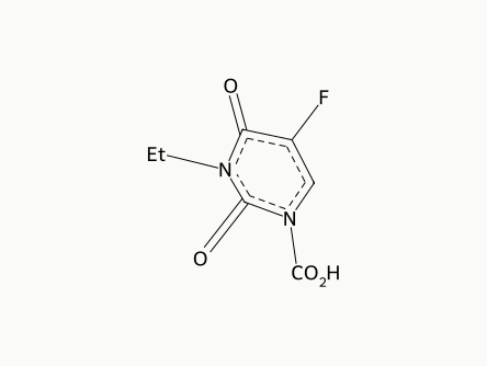 CCn1c(=O)c(F)cn(C(=O)O)c1=O